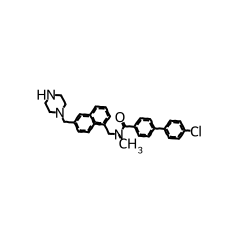 CN(Cc1cccc2cc(CN3CCNCC3)ccc12)C(=O)c1ccc(-c2ccc(Cl)cc2)cc1